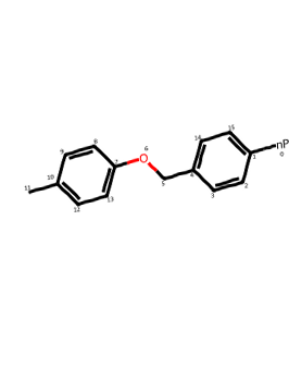 CCCc1ccc(COc2ccc(C)cc2)cc1